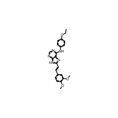 CCOc1ccc(Nc2ncnc3[nH]c(/C=C/c4ccc(OC)c(OC)c4)nc23)cc1